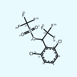 O=S(=O)(OC(c1c(Cl)cccc1Cl)C(F)(F)F)C(F)(F)F